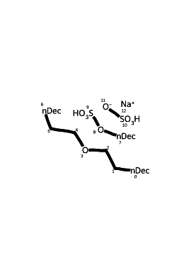 CCCCCCCCCCCCOCCCCCCCCCCCC.CCCCCCCCCCOS(=O)(=O)O.O=S(=O)([O-])O.[Na+]